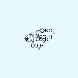 CN1CCN(CC(=O)O)CCN(CC(Cc2ccc([N+](=O)[O-])cc2)N(CC(=O)O)CC(=O)O)CC1